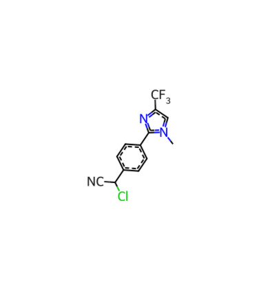 Cn1cc(C(F)(F)F)nc1-c1ccc(C(Cl)C#N)cc1